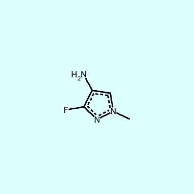 Cn1cc(N)c(F)n1